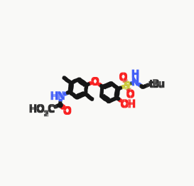 Cc1cc(Oc2ccc(O)c(S(=O)(=O)NCC(C)(C)C)c2)c(C)cc1NC(=O)C(=O)O